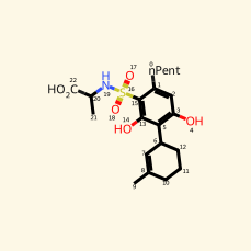 CCCCCc1cc(O)c(C2C=C(C)CCC2)c(O)c1S(=O)(=O)NC(C)C(=O)O